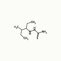 CCC(C)C(CC)NNC(N)=S